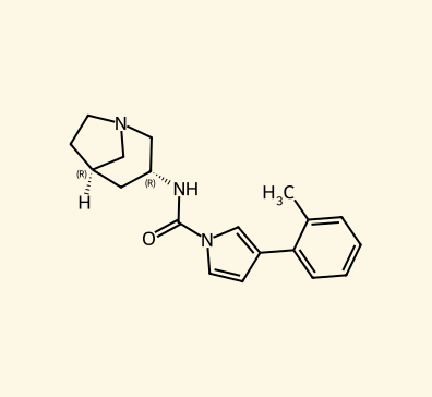 Cc1ccccc1-c1ccn(C(=O)N[C@@H]2C[C@H]3CCN(C3)C2)c1